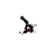 Cc1c(Cl)c2c(Cl)c(C)c1-c1c(-c3ccc(F)cc3)sc3ncnc(c13)O[C@@H](C(=O)O)Cc1cc(ccc1OCc1ccnc(N3CCC(F)(COC[C@@H]4COCCO4)CC3)n1)OCC[C@@H](CN1CCN(C)CC1)O2